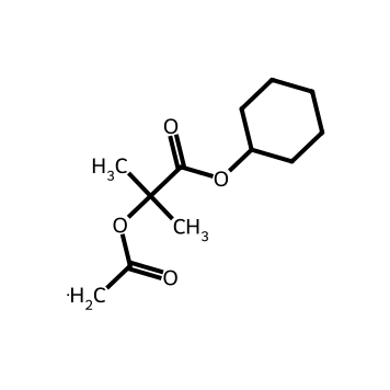 [CH2]C(=O)OC(C)(C)C(=O)OC1CCCCC1